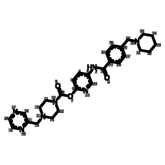 O=C(Nc1ccc(OC(=O)N2CCN(Cc3cnccn3)CC2)nc1)c1ccc(CN2CCCCC2)cc1